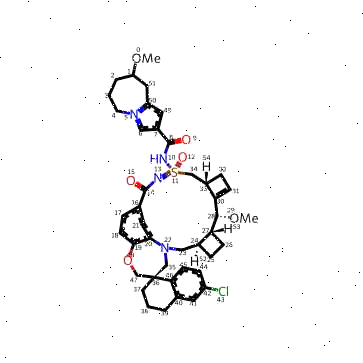 COC1CCCn2cc(C(=O)NS3(=O)=NC(=O)c4ccc5c(c4)N(C[C@@H]4CC[C@H]4[C@@H](OC)C4=CC[C@H]4C3)C[C@@]3(CCCc4cc(Cl)ccc43)CO5)cc2C1